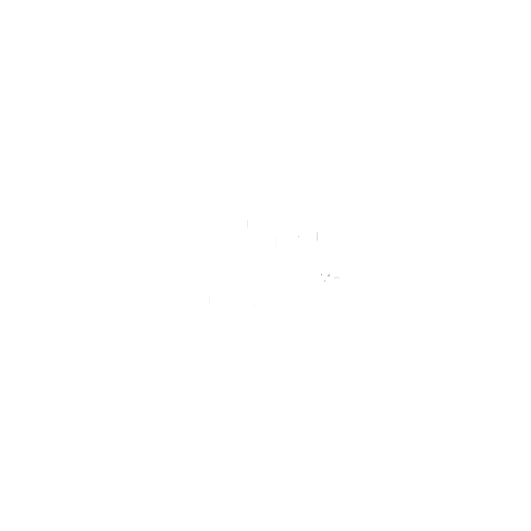 COc1ccc(C=O)cc1B(O)O